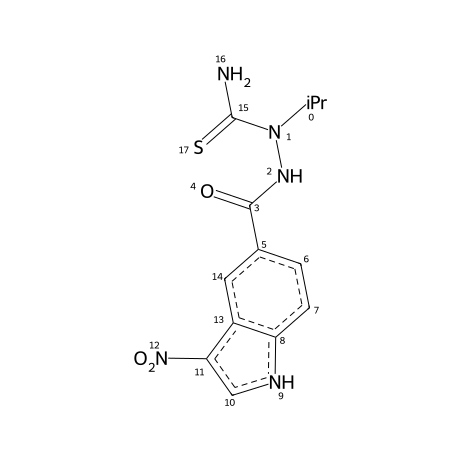 CC(C)N(NC(=O)c1ccc2[nH]cc([N+](=O)[O-])c2c1)C(N)=S